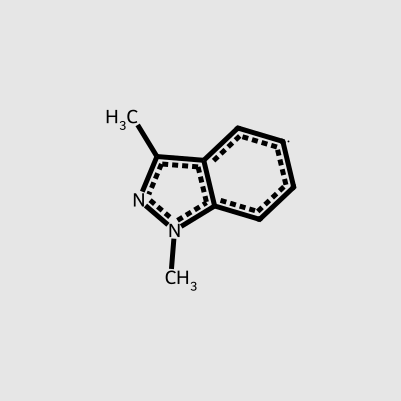 Cc1nn(C)c2cc[c]cc12